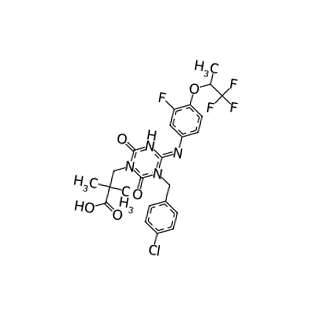 CC(Oc1ccc(/N=c2\[nH]c(=O)n(CC(C)(C)C(=O)O)c(=O)n2Cc2ccc(Cl)cc2)cc1F)C(F)(F)F